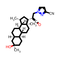 C[C@@H]1C[C@H](C(=C=O)Cn2ccc(C#N)n2)[C@@]2(C)CC[C@H]3[C@@H](CC[C@@H]4C[C@](C)(O)CC[C@@H]43)[C@H]12